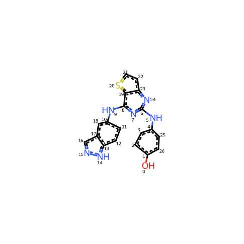 Oc1ccc(Nc2nc(Nc3ccc4[nH]ncc4c3)c3sccc3n2)cc1